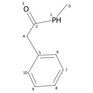 CPC(=O)Cc1ccccc1